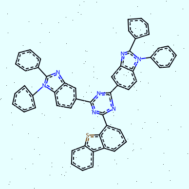 c1ccc(-c2nc3cc(-c4nc(-c5ccc6c(c5)nc(-c5ccccc5)n6-c5ccccc5)nc(-c5cccc6c5sc5ccccc56)n4)ccc3n2-c2ccccc2)cc1